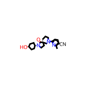 Cc1nc(N2CCC[C@@]3(CCN([C@H]4CC[C@@H](O)CC4)C3=O)C2)ccc1C#N